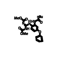 CCCCC(=O)Nc1cc(Oc2ccccc2)ccc1NC(=NC(=O)OC)NC(=O)OC